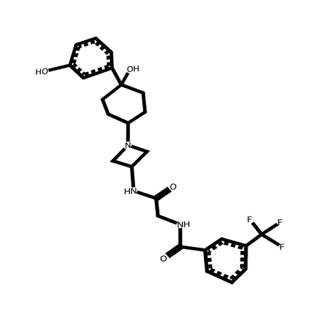 O=C(CNC(=O)c1cccc(C(F)(F)F)c1)NC1CN(C2CCC(O)(c3cccc(O)c3)CC2)C1